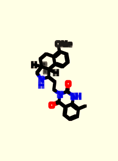 COc1cccc2c1CC[C@H]1CNC(CCn3c(=O)[nH]c4c(C)cccc4c3=O)[C@@H]21